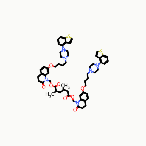 CC(CC(=O)OCN1C(=O)CCc2ccc(OCCCCN3CCN(c4cccc5sccc45)CC3)cc21)CC(C)C(=O)OCN1C(=O)CCc2ccc(OCCCCN3CCN(c4cccc5sccc45)CC3)cc21